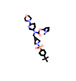 Cn1cccc1OC(=O)N(CC1C2CN(S(=O)(=O)c3ccc(C(C)(C)C)cc3)CC12)c1ccc(N2CCOCC2)nc1